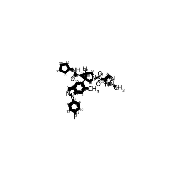 Cc1cc2c(cnn2-c2ccc(F)cc2)cc1[C@]12CN(S(=O)(=O)c3cnn(C)n3)C[C@H]1[C@@H]2C(=O)NC1CCCC1